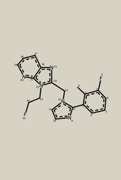 Cc1c(F)cccc1-c1nccn1Cc1nc2cccnc2n1CCF